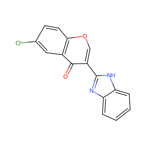 O=c1c(-c2nc3ccccc3[nH]2)coc2ccc(Cl)cc12